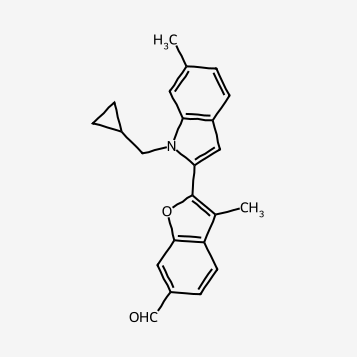 Cc1ccc2cc(-c3oc4cc(C=O)ccc4c3C)n(CC3CC3)c2c1